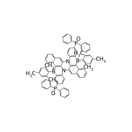 Cc1cc(C)c(B2c3cc(P(=O)(c4ccccc4)c4ccccc4)ccc3N3c4cc5ccccc5c5c4N(c4ccc(P(=O)(c6ccccc6)c6ccccc6)cc4B5c4c(C)cc(C)cc4C)c4cc5ccccc5c2c43)c(C)c1